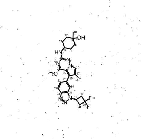 COc1nc(NC2CCC(C)(O)CC2)nn2cc(F)c(-c3ccc4nnn(C5CC(F)(F)C5)c4c3)c12